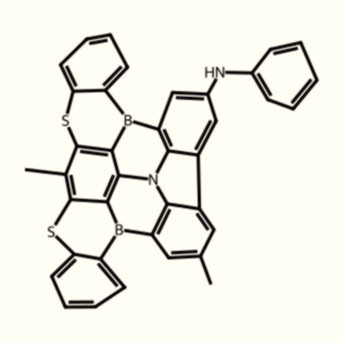 Cc1cc2c3c(c1)c1cc(Nc4ccccc4)cc4c1n3-c1c3c(c(C)c5c1B4c1ccccc1S5)Sc1ccccc1B32